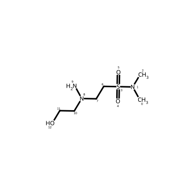 CN(C)S(=O)(=O)CCN(N)CCO